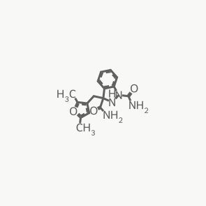 Cc1cc(CC2(C(N)=O)NN(C(N)=O)c3ccccc32)c(C)o1